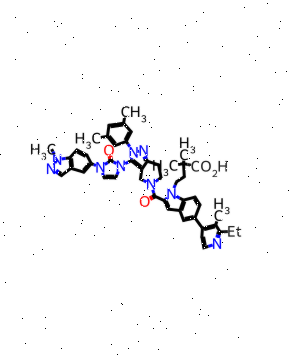 CCc1nccc(-c2ccc3c(c2)cc(C(=O)N2CCc4nn(-c5cc(C)cc(C)c5)c(-n5ccn(-c6ccc7c(cnn7C)c6)c5=O)c4C2)n3CCC(C)(C)C(=O)O)c1C